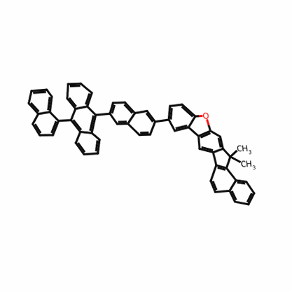 CC1(C)c2cc3oc4ccc(-c5ccc6cc(-c7c8ccccc8c(-c8cccc9ccccc89)c8ccccc78)ccc6c5)cc4c3cc2-c2ccc3ccccc3c21